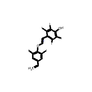 C=Cc1cc(I)c(O/C=C/c2c(I)c(I)c(O)c(I)c2I)c(I)c1